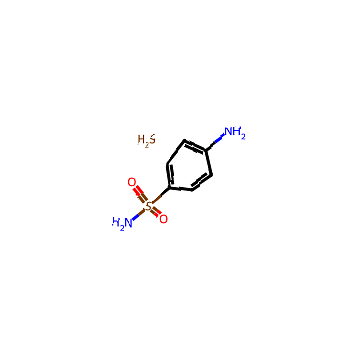 Nc1ccc(S(N)(=O)=O)cc1.S